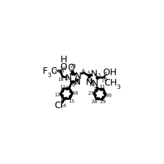 C[C@@H](O)c1nc(Cn2nc(-c3ccc(Cl)cc3)n(C[C@H](O)C(F)(F)F)c2=O)nn1-c1ccccc1